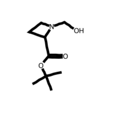 CC(C)(C)OC(=O)C1CCN1CO